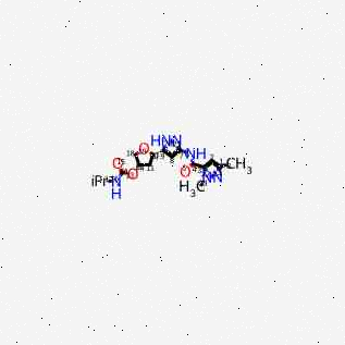 Cc1cc(C(=O)Nc2cc([C@@H]3C[C@H](OC(=O)NC(C)C)CO3)[nH]n2)n(C)n1